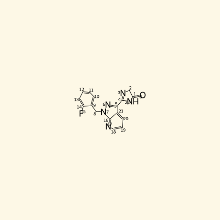 O=C1CN=C(c2nn(Cc3ccccc3F)c3ncccc23)N1